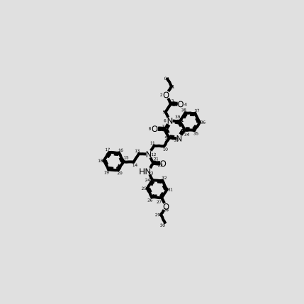 CCOC(=O)Cn1c(=O)c(CCN(CCc2ccccc2)C(=O)Nc2ccc(OCC)cc2)nc2ccccc21